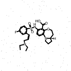 CCN(CC)C/C=C\c1cc(F)ccc1S(=O)(=O)Nc1ccc2c(c1C(=O)O)OCC[C@@H]1CCCN21